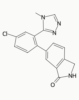 Cn1cnnc1-c1cc(Cl)ccc1-c1ccc2c(c1)C(=O)NC2